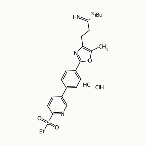 CC[C@@H](C)C(=N)CCc1nc(-c2ccc(-c3ccc(S(=O)(=O)CC)nc3)cc2)oc1C.Cl.Cl